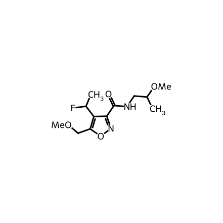 COCc1onc(C(=O)NCC(C)OC)c1C(C)F